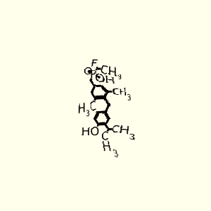 Cc1cc(CP(=O)(O)C(C)F)cc(C)c1Cc1ccc(O)c(C(C)C)c1